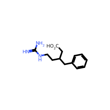 N=C(N)NCCC(CC(=O)O)Cc1ccccc1